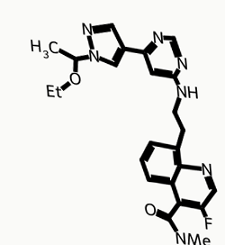 CCOC(C)n1cc(-c2cc(NCCc3cccc4c(C(=O)NC)c(F)cnc34)ncn2)cn1